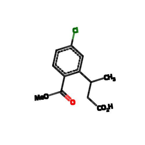 COC(=O)c1ccc(Cl)cc1C(C)CC(=O)O